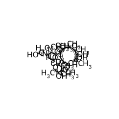 CO[C@]1(C)C[C@H](O[C@H]2[C@H](C)[C@@H](O[C@@H]3O[C@H](C)C[C@@H](N4CC[C@@H](O)C4)[C@@H]3N(C)C)[C@@](C)(OC)C[C@@H](C)C(=O)[C@H](C)[C@@H](O)[C@@]3(O)C(C)[C@H]3OC(=O)[C@@H]2C)O[C@@H](C)[C@@H]1O